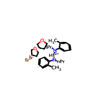 C1CCOC1.C1CCOC1.CCC[N]([Hf+2][N](CCC)c1ccccc1C)c1ccccc1C.[Br-].[Br-]